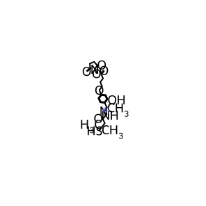 C/C(=N\NC(=O)CC(C)(C)S)c1ccc(OCCCC(=O)ON2C(=O)CCC2=O)cc1O